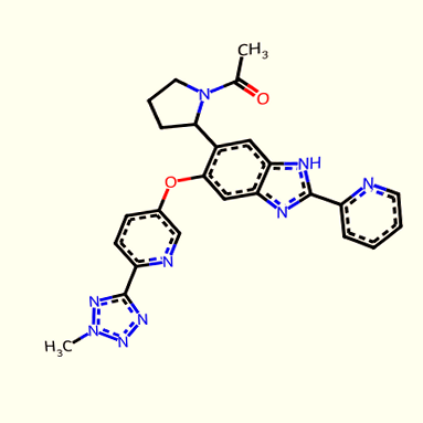 CC(=O)N1CCCC1c1cc2[nH]c(-c3ccccn3)nc2cc1Oc1ccc(-c2nnn(C)n2)nc1